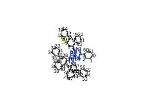 c1ccc(-c2nc(-c3cc4sc5ccccc5c4c4ccccc34)nc(-n3c4cc(-c5ccccc5)c5ccccc5c4c4c5ccccc5c(-c5ccccc5)cc43)n2)cc1